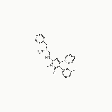 Cn1c(NC[C@H](N)Cc2ccccc2)nc(-c2ccncc2)c(-c2cccc(F)c2)c1=O